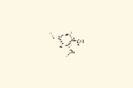 C[CH]c1ccc(O)c(OC)c1